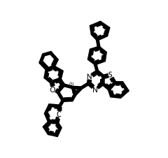 C1=C(c2ccc3ccccc3c2)c2oc3cc4c(cc3c2[C@H]2C1C2c1nc(-c2ccc(-c3ccccc3)cc2)c2sc3ccccc3c2n1)=CCCC=4